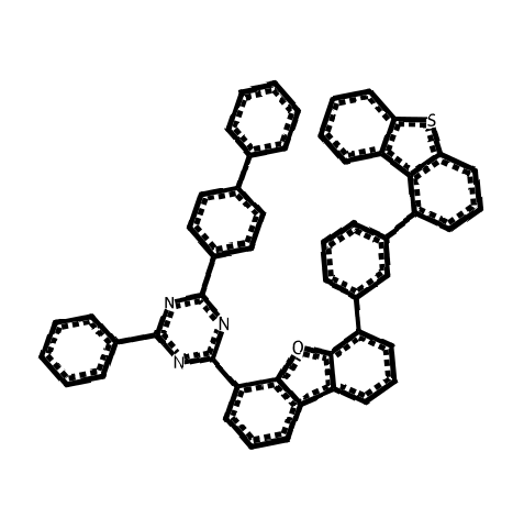 c1ccc(-c2ccc(-c3nc(-c4ccccc4)nc(-c4cccc5c4oc4c(-c6cccc(-c7cccc8sc9ccccc9c78)c6)cccc45)n3)cc2)cc1